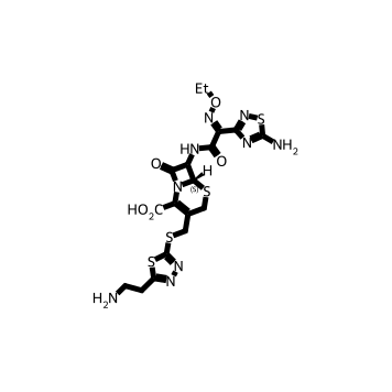 CCON=C(C(=O)NC1C(=O)N2C(C(=O)O)=C(CSc3nnc(CCN)s3)CS[C@@H]12)c1nsc(N)n1